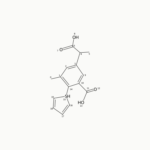 Cc1cc(C(C)C(=O)O)cc(C(=O)O)c1[SH]1C=CC=C1